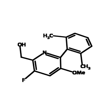 COc1cc(F)c(CO)nc1-c1c(C)cccc1C